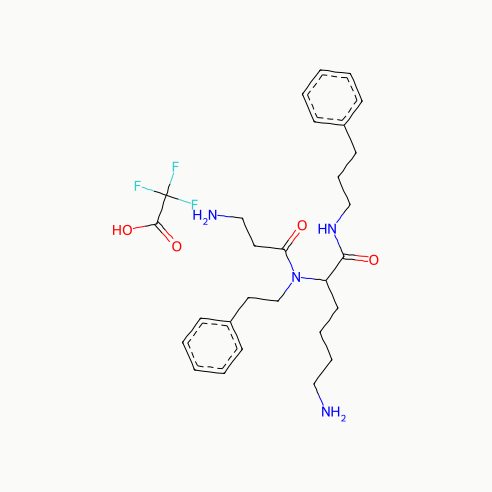 NCCCCC(C(=O)NCCCc1ccccc1)N(CCc1ccccc1)C(=O)CCN.O=C(O)C(F)(F)F